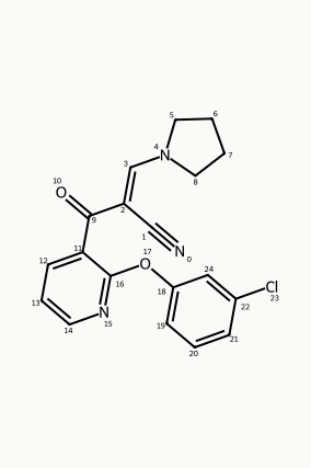 N#CC(=CN1CCCC1)C(=O)c1cccnc1Oc1cccc(Cl)c1